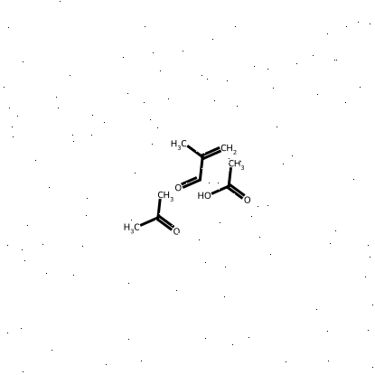 C=C(C)C=O.CC(=O)O.CC(C)=O